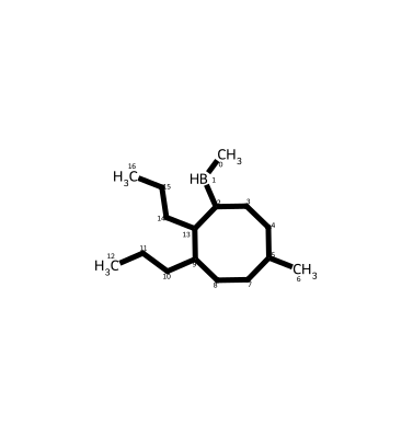 CBC1CCC(C)CCC(CCC)C1CCC